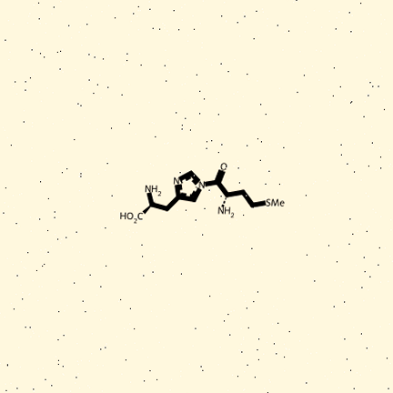 CSCC[C@H](N)C(=O)n1cnc(C[C@H](N)C(=O)O)c1